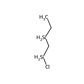 CC[SiH2]C[SiH2]Cl